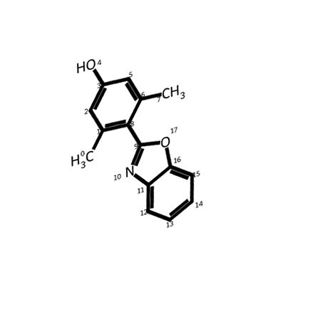 Cc1cc(O)cc(C)c1-c1nc2ccccc2o1